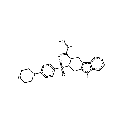 O=C(NO)[C@H]1Cc2c([nH]c3ccccc23)CN1S(=O)(=O)c1ccc(N2CCOCC2)cc1